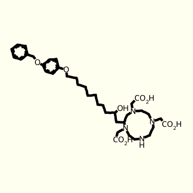 O=C(O)CN1CCNCCN(CC(=O)O)C(CC(O)CCCCCCCCCOc2ccc(OCc3ccccc3)cc2)CN(CC(=O)O)CC1